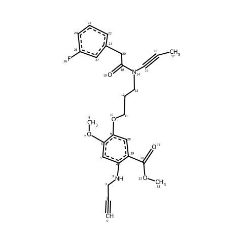 C#CCNc1cc(OC)c(OCCCN(C#CC)C(=O)Cc2cccc(F)c2)cc1C(=O)OC